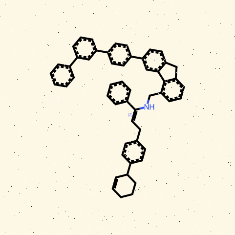 C1=CC(c2ccc(C/C=C(\NCc3cccc4c3-c3cc(-c5ccc(-c6cccc(-c7ccccc7)c6)cc5)ccc3C4)c3ccccc3)cc2)CCC1